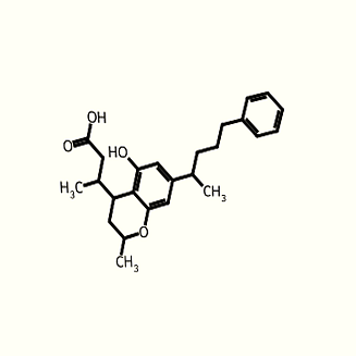 CC1CC(C(C)CC(=O)O)c2c(O)cc(C(C)CCCc3ccccc3)cc2O1